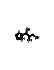 OCC(O)C(O)c1ncc[nH]1